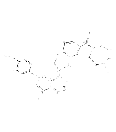 COc1ccc(-c2cc(C)c3ncnc(N4CCc5ccc(C(=O)N6CCCN(C)CC6)cc5C4)c3c2)cn1